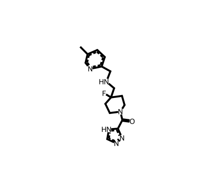 Cc1ccc(CNCC2(F)CCN(C(=O)c3nnc[nH]3)CC2)nc1